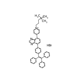 Br.C[N+](C)(C)CCC[n+]1ccc(-c2ccc(-c3ccc(C(=C(c4ccccc4)c4ccccc4)c4ccccc4)cc3)c3nsnc23)cc1